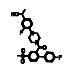 CC(O)c1ccc(N2CCN(C(=O)c3cc(S(C)(=O)=O)ccc3-c3ccc(F)cc3)CC2)c(F)c1